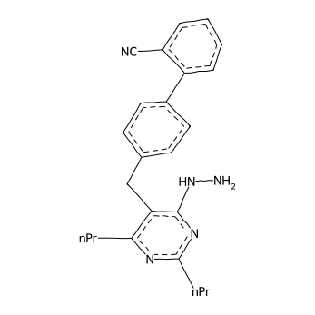 CCCc1nc(CCC)c(Cc2ccc(-c3ccccc3C#N)cc2)c(NN)n1